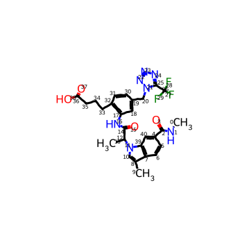 CNC(=O)c1ccc2c(C)cn(C(C)C(=O)Nc3cc(Cn4nnnc4C(F)(F)F)ccc3CCCC(=O)O)c2c1